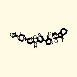 C[C@@H]1CN(c2ccc(Nc3cc(-c4ccnc(-n5ccn6c7c(c(F)c6c5=O)CCCC7)c4CO)cn(C)c3=O)nc2)CCN1C1COC1